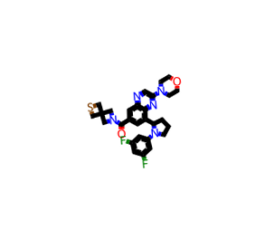 O=C(c1cc(C2CCCN2c2cc(F)cc(F)c2)c2nc(N3CCOCC3)cnc2c1)N1CC2(CSC2)C1